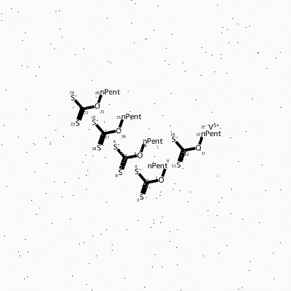 CCCCCOC(=S)[S-].CCCCCOC(=S)[S-].CCCCCOC(=S)[S-].CCCCCOC(=S)[S-].CCCCCOC(=S)[S-].[V+5]